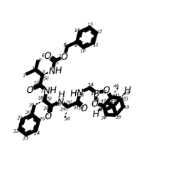 CC(C)[C@H](NC(=O)OCc1ccccc1)C(=O)N[C@@H](Cc1ccccc1)C(=O)N[C@@H](C)C(=O)NCB1O[C@@H]2CC3C[C@@H](C3(C)C)[C@]2(C)O1